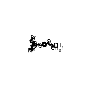 CN(C)C=CC(=O)c1ccc(OCC2COC(Cn3cncn3)(c3ccc(Br)s3)O2)cc1